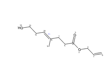 C=CCOC(=O)CC/C(C)=C/CCO